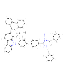 CC1(C)c2c(c3ccccc3c3ccccc23)-c2ccc3c4ccccc4n(-c4ccc(-c5ccc(C6NC(c7ccccc7)C7C(c8ccccc8)N67)cc5)cc4)c3c21